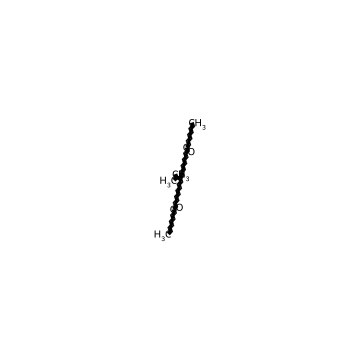 CCCCCCCCOC(=O)CCCCCCCCC(CCCCCCCCC(=O)OCCCCCCCC)C(C)C